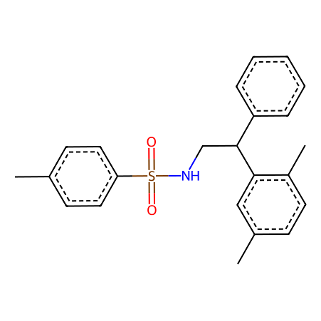 Cc1ccc(S(=O)(=O)NCC(c2ccccc2)c2cc(C)ccc2C)cc1